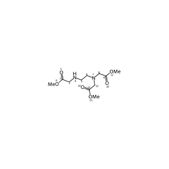 COC(=O)CNCCN(CC(=O)OC)CC(=O)OC